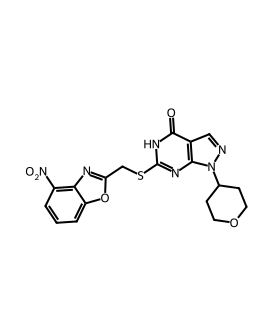 O=c1[nH]c(SCc2nc3c([N+](=O)[O-])cccc3o2)nc2c1cnn2C1CCOCC1